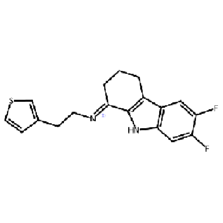 Fc1cc2[nH]c3c(c2cc1F)CCC/C3=N\CCc1ccsc1